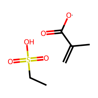 C=C(C)C([O])=O.CCS(=O)(=O)O